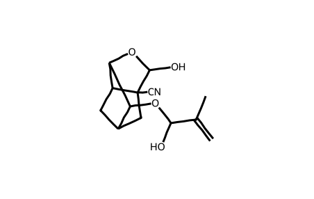 C=C(C)C(O)OC1C2CC3C1OC(O)C3(C#N)C2